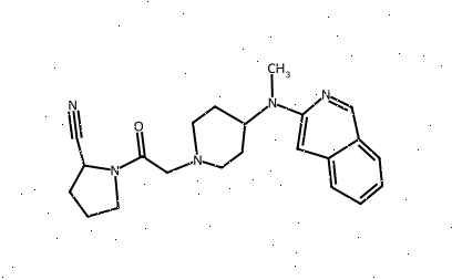 CN(c1cc2ccccc2cn1)C1CCN(CC(=O)N2CCCC2C#N)CC1